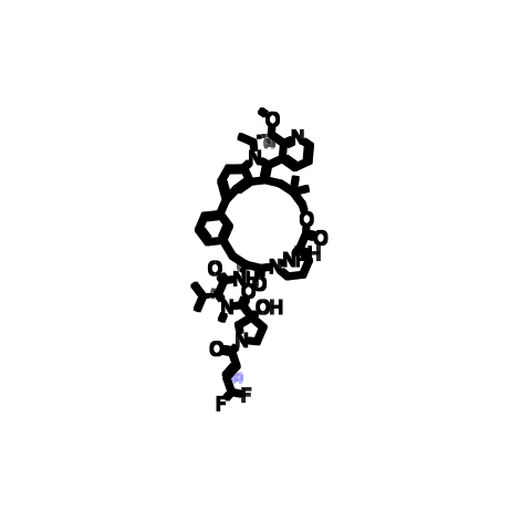 CCn1c(-c2cccnc2[C@H](C)OC)c2c3cc(ccc31)-c1cccc(c1)C[C@H](NC(=O)[C@H](C(C)C)N(C)C(=O)C1(O)CCN(C(=O)/C=C/C(F)F)C1)C(=O)N1CCC[C@H](N1)C(=O)OCC(C)(C)C2